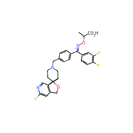 CC(O/N=C(/c1ccc(CN2CCC3(CC2)OCc2cc(F)ncc23)cc1)c1ccc(F)c(F)c1)C(=O)O